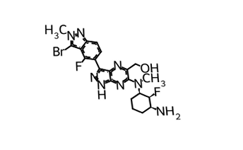 CN(c1nc2[nH]nc(-c3ccc4nn(C)c(Br)c4c3F)c2nc1CO)[C@@H]1CCC[C@H](N)[C@@H]1F